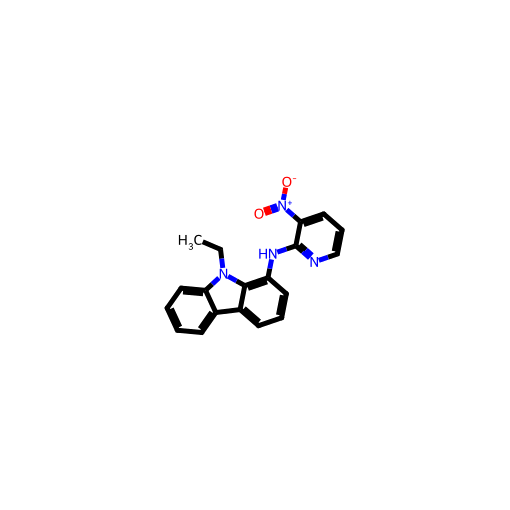 CCn1c2ccccc2c2cccc(Nc3ncccc3[N+](=O)[O-])c21